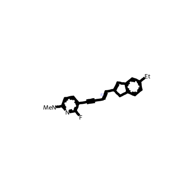 CCc1ccc2c(c1)C=C(/C=C/C#Cc1ccc(NC)nc1F)C2